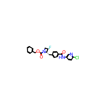 O=C(Nc1ccc(Cl)nc1)c1ccc(C[C@H]2[C@@H](F)CN2C(=O)OCc2ccccc2)cc1